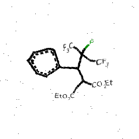 CCOC(=O)C(C(=O)OCC)C(c1ccccc1)C(F)(C(F)(F)F)C(F)(F)F